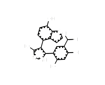 CC(C)c1cc(-c2[nH]nc(O)c2-c2ccc(O)c3occc23)c(O)cc1O